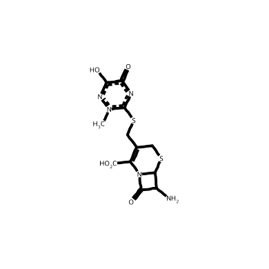 Cn1nc(O)c(=O)nc1SCC1=C(C(=O)O)N2C(=O)C(N)C2SC1